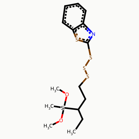 CCC(CCSSSc1nc2ccccc2s1)[Si](C)(OC)OC